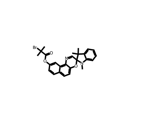 CN1c2ccccc2C(C)(C)C12C=Nc1c(ccc3ccc(OC(=O)C(C)(C)Br)cc13)O2